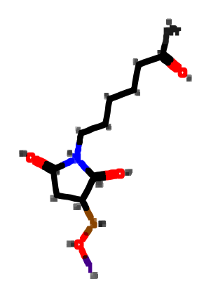 CCCC(=O)CCCCCN1C(=O)CC(SOI)C1=O